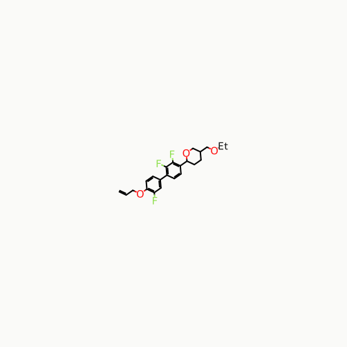 C=CCOc1ccc(-c2ccc(C3CCC(COCC)CO3)c(F)c2F)cc1F